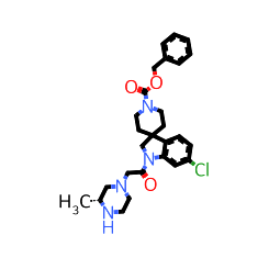 C[C@@H]1CN(CC(=O)N2CC3(CCN(C(=O)OCc4ccccc4)CC3)c3ccc(Cl)cc32)CCN1